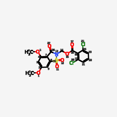 COc1cc(OC)c2c(c1)S(=O)(=O)N(COC(=O)c1c(Cl)cccc1Cl)C2=O